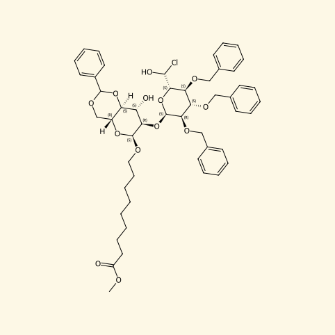 COC(=O)CCCCCCCCO[C@H]1O[C@@H]2COC(c3ccccc3)O[C@H]2[C@H](O)[C@H]1O[C@H]1O[C@H](C(O)Cl)[C@@H](OCc2ccccc2)[C@H](OCc2ccccc2)[C@H]1OCc1ccccc1